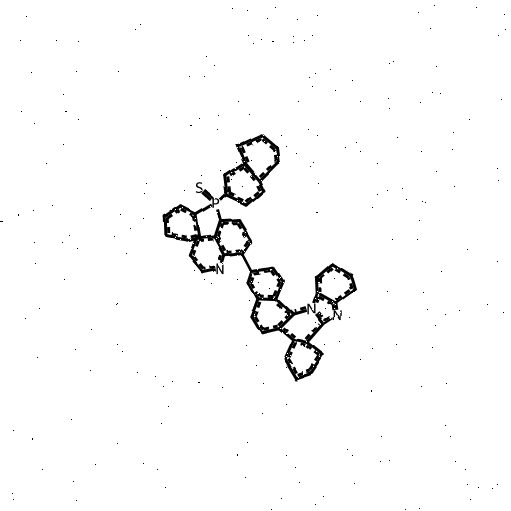 S=P(c1ccccc1)(c1ccc2ccccc2c1)c1ccc(-c2ccc3c(ccc4c5ccccc5c5nc6ccccc6n5c34)c2)c2ncccc12